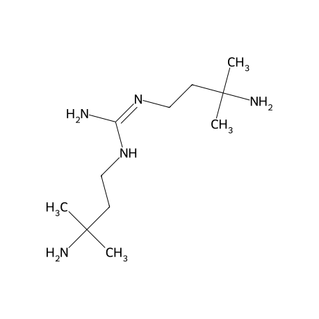 CC(C)(N)CCN=C(N)NCCC(C)(C)N